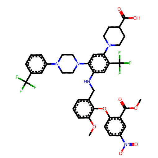 COC(=O)c1cc([N+](=O)[O-])ccc1Oc1c(CNc2cc(C(F)(F)F)c(N3CCC(C(=O)O)CC3)cc2N2CCN(c3cccc(C(F)(F)F)c3)CC2)cccc1OC